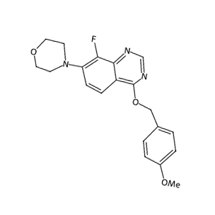 COc1ccc(COc2ncnc3c(F)c(N4CCOCC4)ccc23)cc1